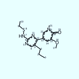 CCCc1cnc(NSCC)nc1-c1cc(OC)c(=O)n(C)c1